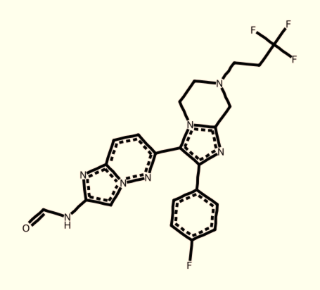 O=CNc1cn2nc(-c3c(-c4ccc(F)cc4)nc4n3CCN(CCC(F)(F)F)C4)ccc2n1